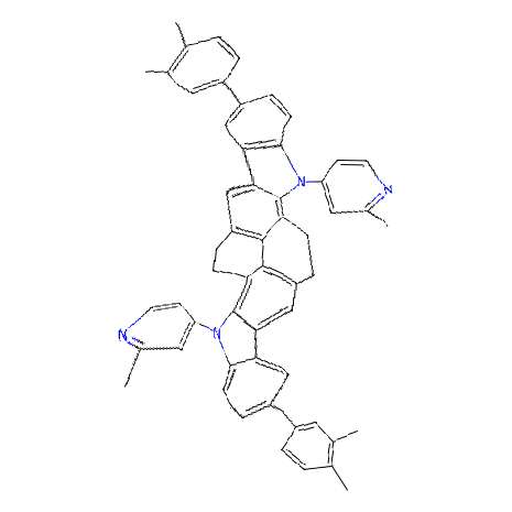 Cc1cc(-n2c3ccc(-c4ccc(C)c(C)c4)cc3c3cc4c5c(c32)CCc2cc3c6cc(-c7ccc(C)c(C)c7)ccc6n(-c6ccnc(C)c6)c3c(c2-5)CC4)ccn1